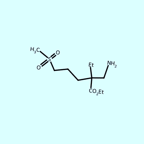 CCOC(=O)C(CC)(CN)CCCS(C)(=O)=O